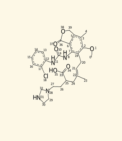 COc1c(C)c2c(c(NC(=O)Nc3ccccc3Cl)c1C/C=C(\C)CC(CCN1CCNC1)C(=O)O)C(=O)OC2